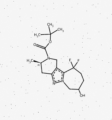 C[C@@H]1Cc2nn3c(c2CN1C(=O)OC(C)(C)C)C(F)(F)CCC(O)C3